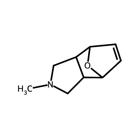 CN1CC2C3C=CC(O3)C2C1